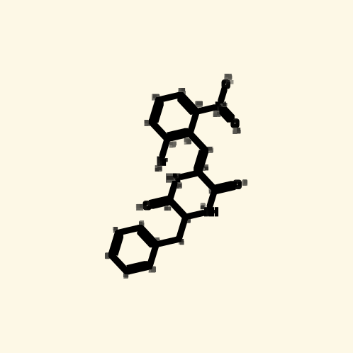 O=C1NC(Cc2ccccc2)C(=O)NC1=Cc1c(Br)cccc1[N+](=O)[O-]